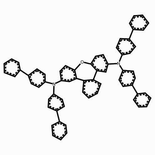 c1ccc(-c2ccc(N(c3ccc(-c4ccccc4)cc3)c3ccc4c(c3)-c3ccccc3-c3cc(N(c5ccc(-c6ccccc6)cc5)c5ccc(-c6ccccc6)cc5)ccc3O4)cc2)cc1